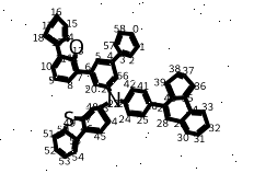 c1ccc(-c2cc(-c3cccc4c3oc3ccccc34)cc(N(c3ccc(-c4cc5ccccc5c5ccccc45)cc3)c3ccc4c(c3)sc3ccccc34)c2)cc1